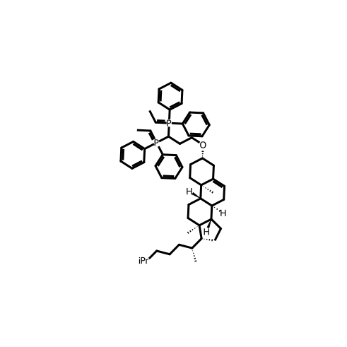 CC=P(c1ccccc1)(c1ccccc1)C(CCO[C@H]1CC[C@@]2(C)C(=CC[C@H]3[C@@H]4CC[C@H]([C@H](C)CCCC(C)C)[C@@]4(C)CC[C@@H]32)C1)P(=CC)(c1ccccc1)c1ccccc1